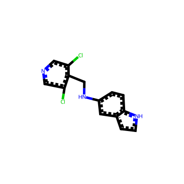 Clc1cncc(Cl)c1CNc1ccc2[nH]ccc2c1